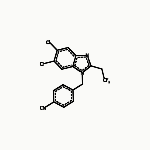 [C-]#[N+]c1ccc(Cn2c(CC(F)(F)F)nc3cc(Cl)c(Cl)cc32)cc1